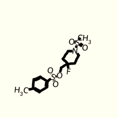 Cc1ccc(S(=O)(=O)OCC2(F)CCN(S(C)(=O)=O)CC2)cc1